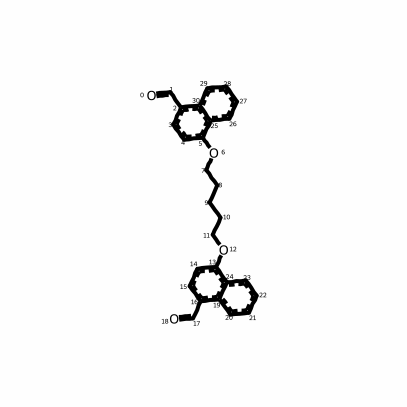 O=Cc1ccc(OCCCCCOc2ccc(C=O)c3ccccc23)c2ccccc12